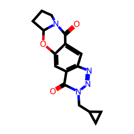 O=C1c2cc3nnn(CC4CC4)c(=O)c3cc2OC2CCCN12